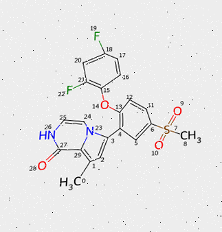 Cc1cc(-c2cc(S(C)(=O)=O)ccc2Oc2ccc(F)cc2F)n2cc[nH]c(=O)c12